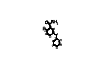 NC(=O)c1cc(Cc2ccccc2)ccc1F